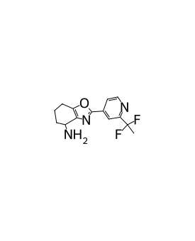 CC(F)(F)c1cc(-c2nc3c(o2)CCCC3N)ccn1